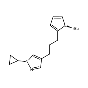 CC[C@H](C)n1cccc1CCCc1cnn(C2CC2)c1